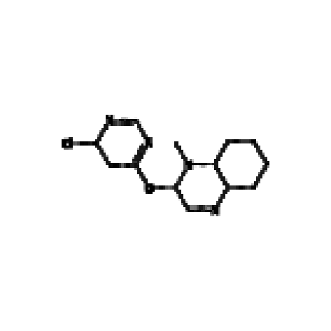 CN1C(OC2=NC=NC(Cl)C2)C=NC2CCCCC21